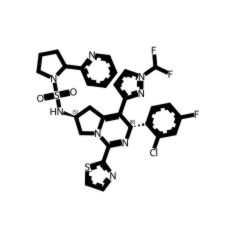 O=S(=O)(N[C@H]1CC2=C(c3ccn(C(F)F)n3)[C@H](c3ccc(F)cc3Cl)N=C(c3nccs3)N2C1)N1CCCC1c1ccccn1